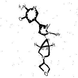 CC(C)n1nc(-c2cnc(N)c(Cl)c2)cc1[C@@H]1[C@@H]2CN(C3COC3)C[C@@H]21